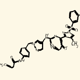 C=CC(=O)Nc1ccc(Cn2cc(Nc3ncc(Cl)c(-c4nn(S(=O)(=O)c5ccccc5)cc4C)n3)cn2)cc1